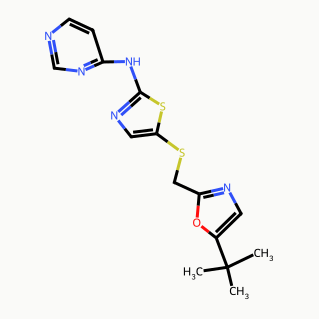 CC(C)(C)c1cnc(CSc2cnc(Nc3ccncn3)s2)o1